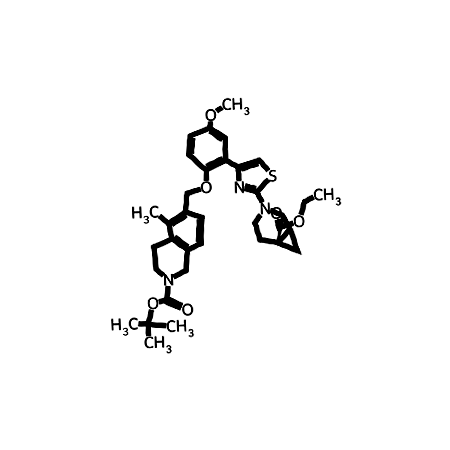 CCOC(=O)[C@@]12CCN(c3nc(-c4cc(OC)ccc4OCc4ccc5c(c4C)CCN(C(=O)OC(C)(C)C)C5)cs3)CC1C2